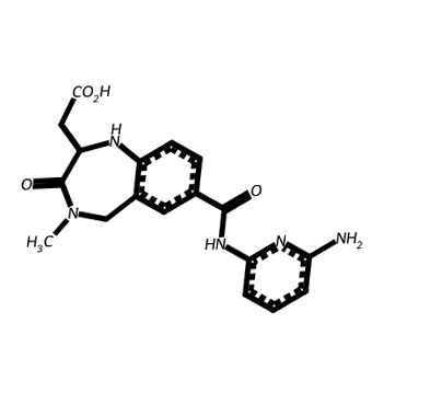 CN1Cc2cc(C(=O)Nc3cccc(N)n3)ccc2NC(CC(=O)O)C1=O